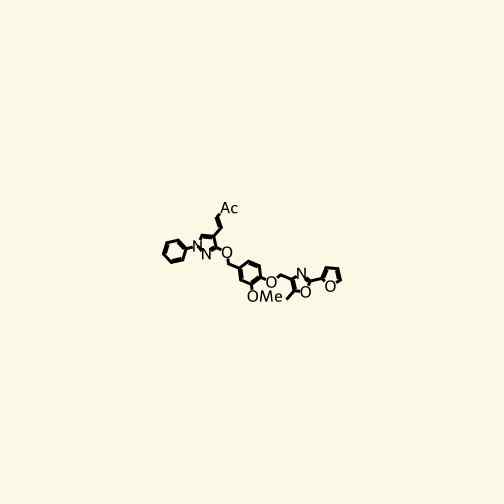 COc1cc(COc2nn(-c3ccccc3)cc2C=CC(C)=O)ccc1OCc1nc(-c2ccco2)oc1C